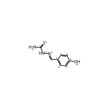 NC(=S)NN=Cc1ccc(O)cc1